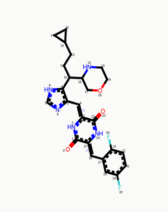 O=c1[nH]/c(=C\c2nc[nH]c2C(CCC2CC2)C2COCCN2)c(=O)[nH]/c1=C\c1cc(F)ccc1F